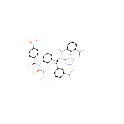 CCC1Oc2c(/[CH]=[Ru]/[CH]3N(c4c(C(C)C)cccc4C(C)C)CCN3c3c(C(C)C)cccc3C(C)C)cccc2N(C(=O)c2ccc([N+](=O)[O-])cc2)C1=O.[Cl-]